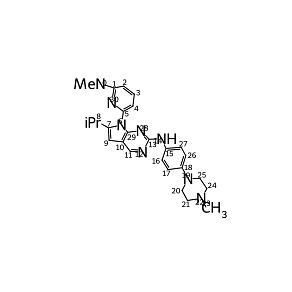 CNc1cccc(-n2c(C(C)C)cc3cnc(Nc4ccc(N5CCN(C)CC5)cc4)nc32)n1